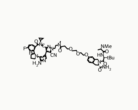 CN[C@@H](C)C(=O)N[C@H](C(=O)N1Cc2cc(OCCOCCOCCC(=O)N(C)CCn3nc4c(c3C#N)-c3cnc(N)c(c3)N3CCC[C@@H]3c3cc(F)ccc3C(=O)N(C3CC3)C4)ccc2C[C@H]1C(N)=O)C(C)(C)C